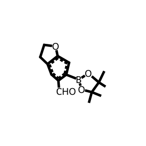 CC1(C)OB(c2cc3c(cc2C=O)CCO3)OC1(C)C